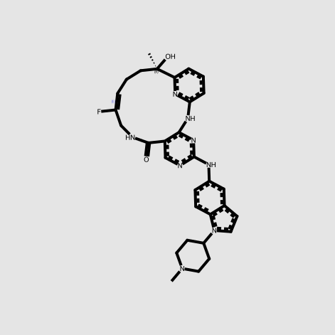 CN1CCC(n2ccc3cc(Nc4ncc5c(n4)Nc4cccc(n4)[C@](C)(O)CC/C=C(/F)CNC5=O)ccc32)CC1